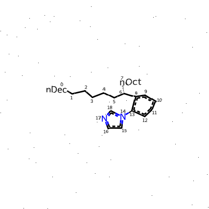 CCCCCCCCCCCCCCC[C@H](CCCCCCCC)c1ccccc1-n1ccnc1